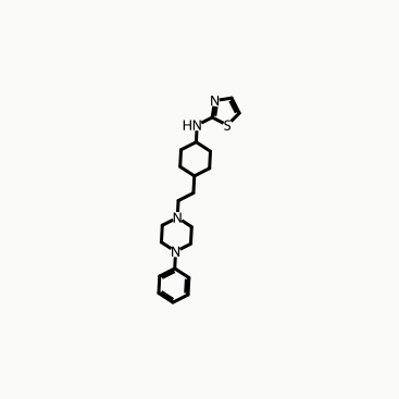 c1ccc(N2CCN(CCC3CCC(Nc4nccs4)CC3)CC2)cc1